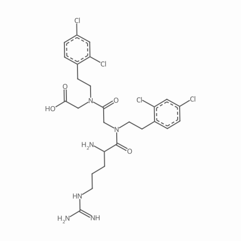 N=C(N)NCCCC(N)C(=O)N(CCc1ccc(Cl)cc1Cl)CC(=O)N(CCc1ccc(Cl)cc1Cl)CC(=O)O